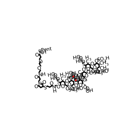 CCCCCNC(=O)CCOCCOCCNC(=O)CCN1C(=O)CC(SCCC(=O)NCO[C@@H]2OC(COS(=O)(=O)O)[C@@H](O[C@@H]3OC(OC=O)[C@@H](O[C@H]4O[C@@H](COOO)[C@@H](O[C@@H]5O[C@@H](OC=O)[C@@H](O[C@H]6OC(COS(=O)(=O)O)[C@@H](O[C@@H]7OC(OC=O)[C@@H](C)[C@@H](C)C7OS(=O)(=O)O)[C@H](C)C6SONOO)C(C)C5OS(=O)(=O)O)C(C)C4SONOO)[C@@H](C)C3OS(=O)(=O)O)[C@H](C)C2SONOO)C1=O